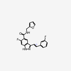 O=C(NCc1ccco1)c1cc2c(/C=C/c3cccc(F)c3)n[nH]c2cc1F